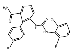 NC(=O)c1cccc(NC(=S)Nc2c(F)cccc2Cl)c1-c1ccc(Br)cn1